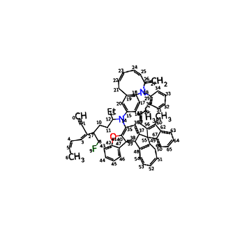 C#C/C(=C\C=C/C)C(CF)CCC(CC)N(c1ccc2c(c1)C/C=C\C=C/C(=C)N2c1ccccc1)c1cc2c(c3c1oc1ccccc13)C1=C(CC=CC=C1)C21C(/C=C\C)=C(C)c2ccccc21